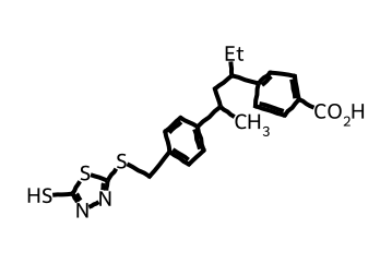 CCC(CC(C)c1ccc(CSc2nnc(S)s2)cc1)c1ccc(C(=O)O)cc1